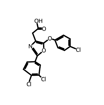 O=C(O)Cc1nc(-c2ccc(Cl)c(Cl)c2)oc1Oc1ccc(Cl)cc1